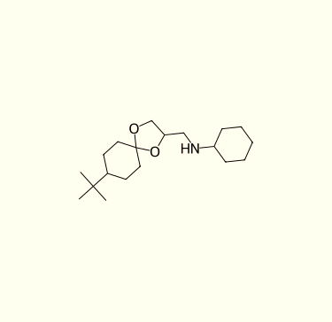 CC(C)(C)C1CCC2(CC1)OCC(CNC1CCCCC1)O2